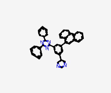 c1ccc(-c2nc(-c3ccccc3)nc(-c3cc(-c4cncnc4)cc(-c4cc5ccccc5c5ccccc45)c3)n2)cc1